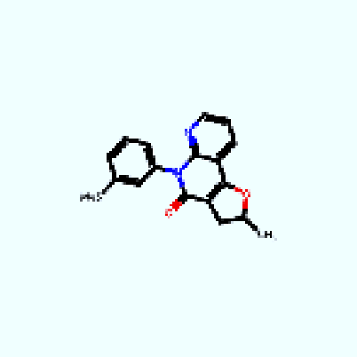 CSc1cccc(-n2c(=O)c3c(c4cccnc42)OC(C)C3)c1